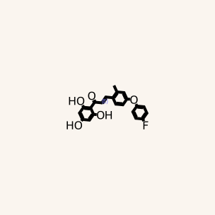 Cc1cc(Oc2ccc(F)cc2)ccc1/C=C/C(=O)c1c(O)cc(O)cc1O